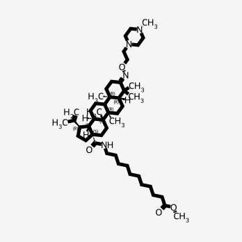 C=C(C)[C@@H]1CC[C@]2(C(=O)NCCCCCCCCCCC(=O)OC)CC[C@]3(C)[C@H](CCC4[C@@]5(C)CCC(=NOCCN6CCN(C)CC6)C(C)(C)[C@@H]5CC[C@]43C)[C@@H]12